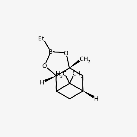 CCB1O[C@H]2C3C[C@@H](C[C@@]2(C)O1)C3(C)C